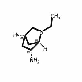 CCN1C[C@@H]2C[C@@H](N)[C@H]1C2